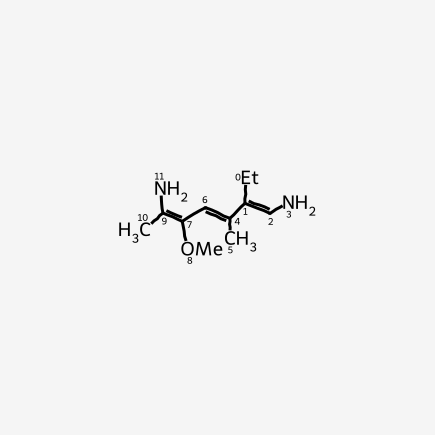 CCC(=C\N)/C(C)=C/C(OC)=C(/C)N